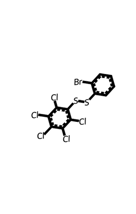 Clc1c(Cl)c(Cl)c(SSc2ccccc2Br)c(Cl)c1Cl